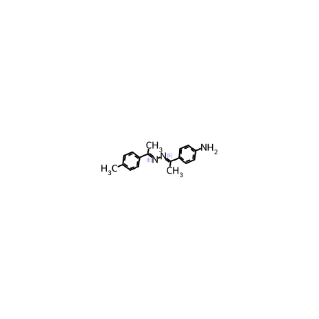 C/C(=N\N=C(/C)c1ccc(N)cc1)c1ccc(C)cc1